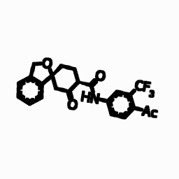 CC(=O)c1ccc(NC(=O)[C@@H]2CC[C@]3(CC2=O)OCc2ccccc23)cc1C(F)(F)F